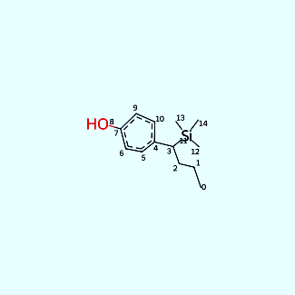 CCCC(c1ccc(O)cc1)[Si](C)(C)C